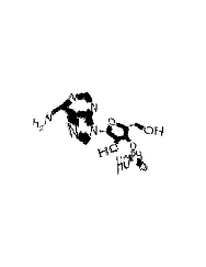 Nc1ncnc2c1ncn2[C@@H]1O[C@H](CO)C(O[PH](=O)O)C1O